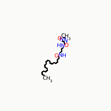 CC/C=C\C/C=C\C/C=C\C/C=C\C/C=C\C/C=C\CCC(=O)NCCCCNC(=O)c1c[n+]([O-])c(C)cn1